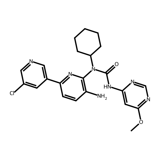 COc1cc(NC(=O)N(c2nc(-c3cncc(Cl)c3)ccc2N)C2CCCCC2)ncn1